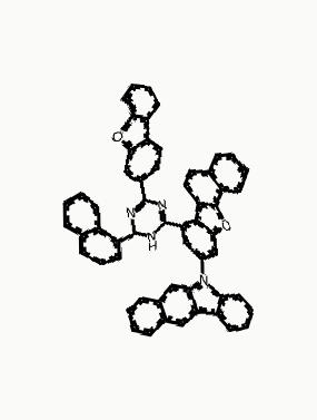 c1ccc2cc3c(cc2c1)c1ccccc1n3-c1cc(C2=NC(c3ccc4c(c3)oc3ccccc34)=NC(c3cccc4ccccc34)N2)c2c(c1)oc1c3ccccc3ccc12